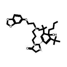 CCCCC1(O)C(C(C)(C)C)=CC([C@@H]2SCC(=O)N2CCCN(C)CCOc2ccc3c(c2)OCO3)=CC1C(C)(C)C